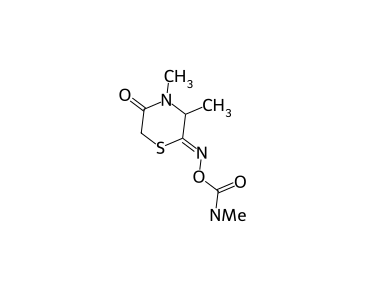 CNC(=O)ON=C1SCC(=O)N(C)C1C